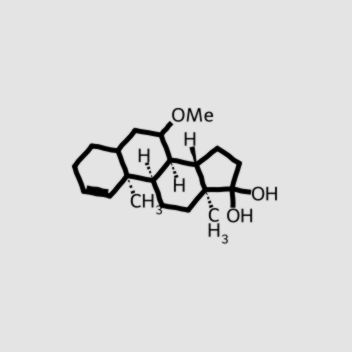 COC1CC2CCC=C[C@]2(C)[C@@H]2CC[C@@]3(C)[C@@H](CCC3(O)O)[C@H]12